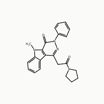 Cn1c2ccccc2c2c(CC(=O)N3CCCC3)nn(-c3ccccc3)c(=O)c21